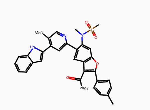 CNC(=O)c1c(-c2ccc(C)cc2)oc2cc(N(C)S(C)(=O)=O)c(-c3cc(-c4cc5ccccc5[nH]4)c(OC)cn3)cc12